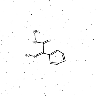 NNC(=O)C(=NO)c1ccccc1